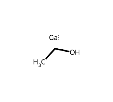 CCO.[Ga]